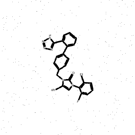 CCCc1cn(-c2c(F)cccc2CC)c(=O)n1Cc1ccc(-c2ccccc2-c2nnn[nH]2)cc1